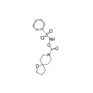 O=C(ONS(=O)(=O)c1ccccc1)N1CCC2(CCCO2)CC1